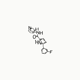 O=C(N[C@H]1CN2CCC1CC2)c1ccc(-c2cccc(F)c2)[nH]1